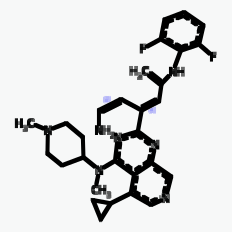 C=C(/C=C(\C=C/N)c1nc(N(C)C2CCN(C)CC2)c2c(C3CC3)cncc2n1)Nc1c(F)cccc1F